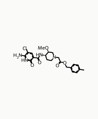 CO[C@H]1CN(CC(=O)OCc2ccc(C)cc2)CC[C@H]1NC(=O)c1cc(Cl)c(N)[nH]c1=O